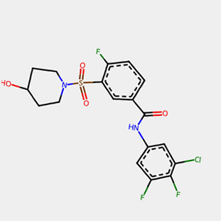 O=C(Nc1cc(F)c(F)c(Cl)c1)c1ccc(F)c(S(=O)(=O)N2CCC(O)CC2)c1